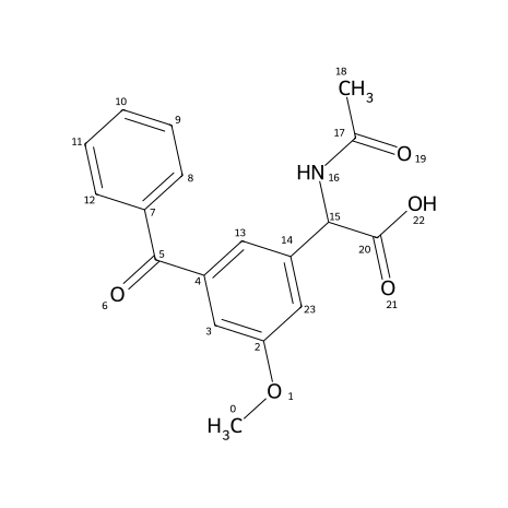 COc1cc(C(=O)c2ccccc2)cc(C(NC(C)=O)C(=O)O)c1